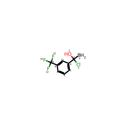 BC(O)(Cl)c1cccc(C(F)(F)F)c1